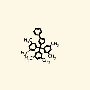 Cc1cc(C)cc(C(C2=CC(c3ccccc3)=CC2)(c2cc(C)cc(C)c2)c2cc(C)cc(C)c2)c1